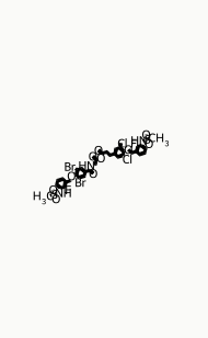 CS(=O)(=O)Nc1cccc(COc2c(Cl)cc(CCC(=O)OC(=O)CNC(=O)c3cc(Br)c(OCc4cccc(NS(C)(=O)=O)c4F)c(Br)c3)cc2Cl)c1F